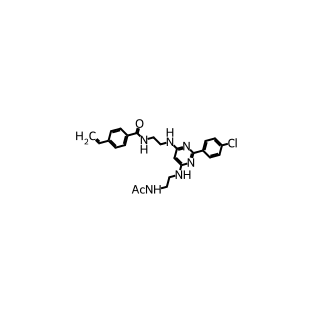 C=Cc1ccc(C(=O)NCCNc2cc(NCCNC(C)=O)nc(-c3ccc(Cl)cc3)n2)cc1